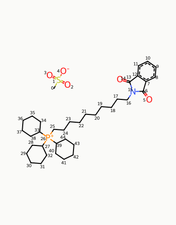 CS(=O)(=O)[O-].O=C1c2ccccc2C(=O)N1CCCCCCCCCC[P+](C1CCCCC1)(C1CCCCC1)C1CCCCC1